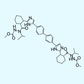 COC(=O)NN(C(=O)C1CCCCC1c1ncc(-c2ccc(-c3ccc(-c4cnc(C5CCCC[C@@H]5C(=O)N(NC(=O)OC)C(C)C)[nH]4)cc3)cc2)[nH]1)C(C)C